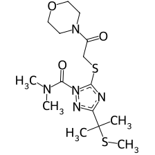 CSC(C)(C)c1nc(SCC(=O)N2CCOCC2)n(C(=O)N(C)C)n1